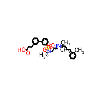 Cc1ccccc1CCCC(C)(C)NC[C@@H](O)CN(C)S(=O)(=O)c1cccc(-c2cccc(CCC(=O)O)c2)c1